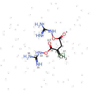 C=C(CC(=O)ONC(=N)N)C(=O)ONC(=N)N.Cl